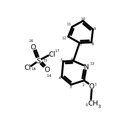 COc1cccc(-c2ccccc2)n1.O=S(=O)(Cl)Cl